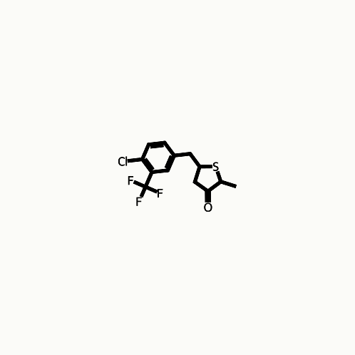 CC1SC(Cc2ccc(Cl)c(C(F)(F)F)c2)CC1=O